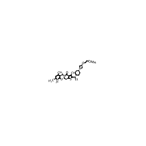 CCN(c1sc2c(c1C)C(=O)N(Cc1c(C)cc(C)[nH]c1=O)CC2)[C@H]1CC[C@H](N2CC(OCCOC)C2)CC1